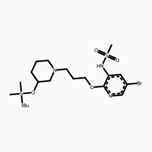 CC(C)(C)[Si](C)(C)OC1CCCN(CCCOc2ncc(Br)cc2NS(C)(=O)=O)C1